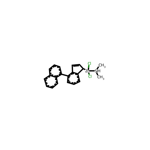 C[SiH](C)[Zr]([Cl])([Cl])[CH]1C=Cc2c(-c3cccc4ccccc34)cccc21